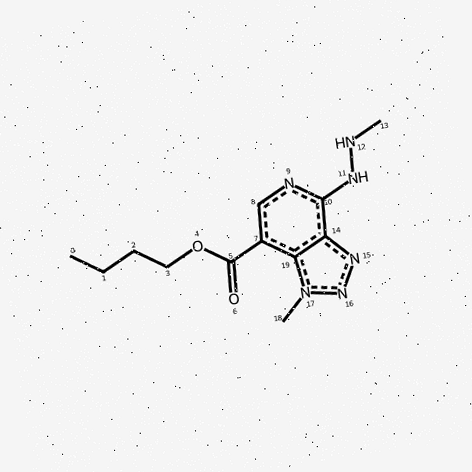 CCCCOC(=O)c1cnc(NNC)c2nnn(C)c12